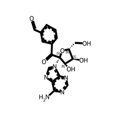 Nc1ncnc2c1ncn2[C@]1(C(=O)c2cccc(C=O)c2)O[C@H](CO)[C@@H](O)[C@H]1O